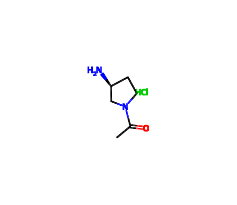 CC(=O)N1CC[C@H](N)C1.Cl